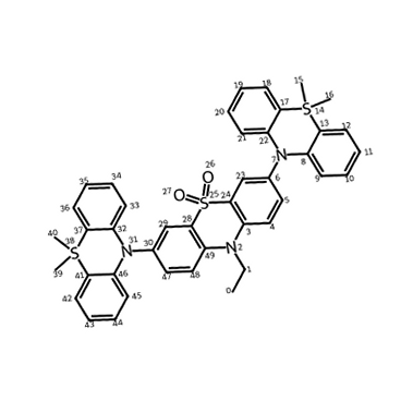 CCN1c2ccc(N3c4ccccc4S(C)(C)c4ccccc43)cc2S(=O)(=O)c2cc(N3c4ccccc4S(C)(C)c4ccccc43)ccc21